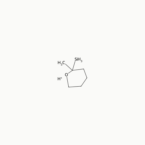 CC1([SiH3])CCCCO1.[H+]